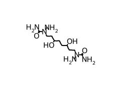 NC(=O)N(N)CCC(O)CCC(O)CCN(N)C(N)=O